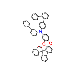 c1ccc(-c2cccc(N(c3ccc(-c4ccccc4-c4ccccc4)cc3)c3ccc4c(c3)Oc3c(ccc5c3C3(c6ccccc6-c6ccccc63)c3ccccc3-5)O4)c2)cc1